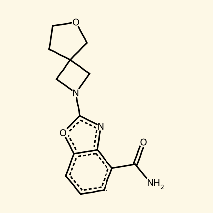 NC(=O)c1[c]ccc2oc(N3CC4(CCOC4)C3)nc12